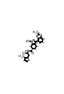 CCC(Cc1sccc1C)NC(=O)[C@@H]1CCc2c(-c3cccc4oc(C)nc34)nn(C(C)C)c2C1